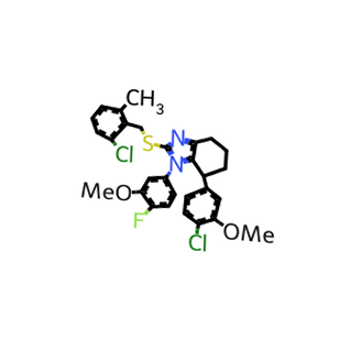 COc1cc(-n2c(SCc3c(C)cccc3Cl)nc3c2C(c2ccc(Cl)c(OC)c2)CCC3)ccc1F